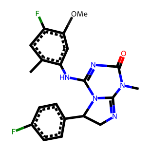 COc1cc(NC2=NC(=O)N(C)C3=NCC(c4ccc(F)cc4)N23)c(C)cc1F